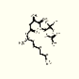 C=C(CC(=O)O[C@H](C)CCCCCC)C(=O)O[C@@H](CC(=O)O)C(F)(F)F